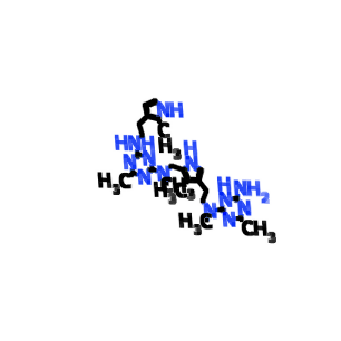 Cc1[nH]ccc1CCNC1=NC(C)N=C(N(C)Cc2[nH]cc(CCN(C)C3=NC(C)N=C(N)N3)c2C)N1